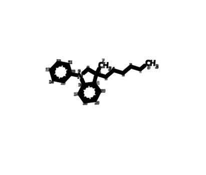 CCCCCCC1(C)CN(c2ccccc2)c2ccccc21